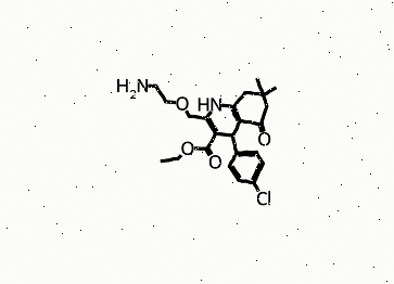 CCOC(=O)C1=C(COCCN)NC2=C(C(=O)CC(C)(C)C2)C1c1ccc(Cl)cc1